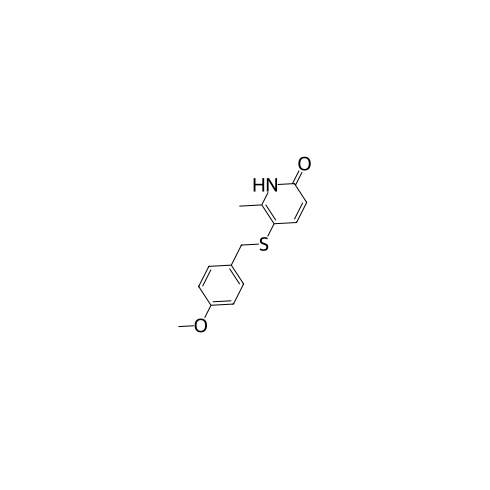 COc1ccc(CSc2ccc(=O)[nH]c2C)cc1